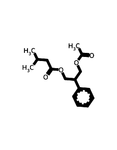 CC(=O)OCC(COC(=O)CC(C)C)c1ccccc1